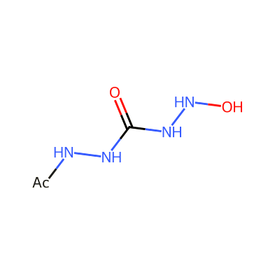 CC(=O)NNC(=O)NNO